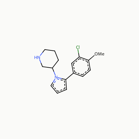 COc1ccc(-c2cccn2C2CCCNC2)cc1Cl